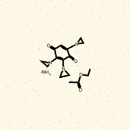 CCOC(C)=O.O=C1C=C(N2CC2)C(=O)C(N2CC2)=C1N1CC1.[AlH3]